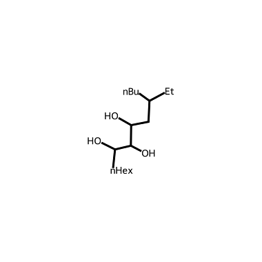 CCCCCCC(O)C(O)C(O)CC(CC)CCCC